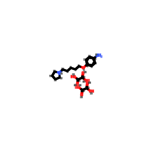 Nc1ccc(OCCCCCN2CCCC2)cc1.O=C(O)C(=O)O.O=C(O)C(=O)O